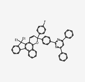 CCC1(CC)c2ccccc2-c2c1c1c(c3ccccc23)OC(c2ccc(F)cc2)(c2ccc(-c3nc(-c4ccccc4)cc(-c4ccccc4)n3)cc2)C=C1